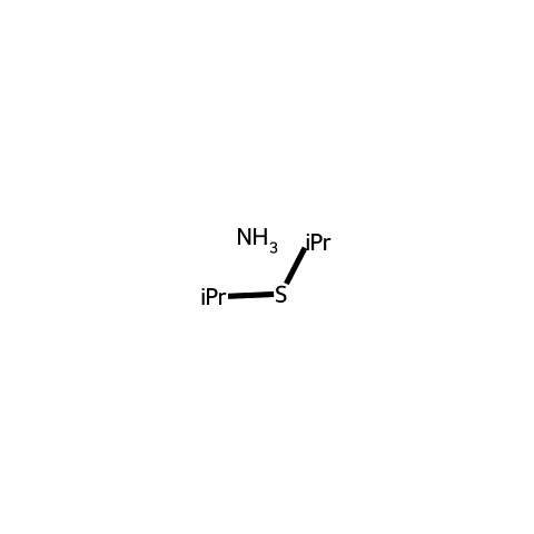 CC(C)SC(C)C.N